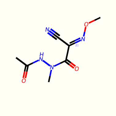 CO/N=C(\C#N)C(=O)N(C)NC(C)=O